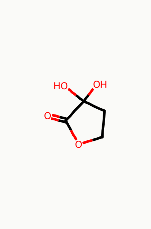 O=C1OCCC1(O)O